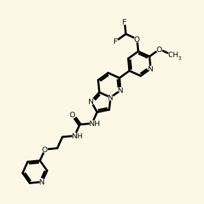 COc1ncc(-c2ccc3nc(NC(=O)NCCOc4cccnc4)cn3n2)cc1OC(F)F